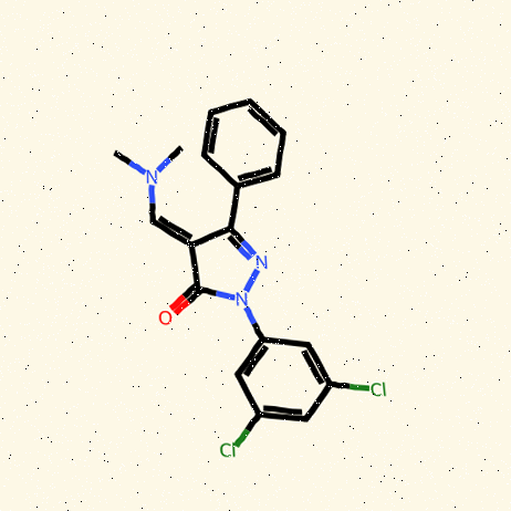 CN(C)/C=C1/C(=O)N(c2cc(Cl)cc(Cl)c2)N=C1c1ccccc1